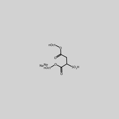 CCCCCCCCOC(=O)CC(C(=O)OCCCCCCCC)S(=O)(=O)O.[Na].[Na]